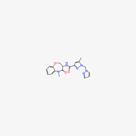 Cc1cc(C(=O)NC2COc3ccccc3N(C)C2=O)nn1Cn1cccn1